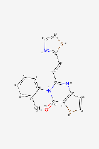 Cc1ccccc1-n1c(C=Cc2nccs2)nc2ccsc2c1=O